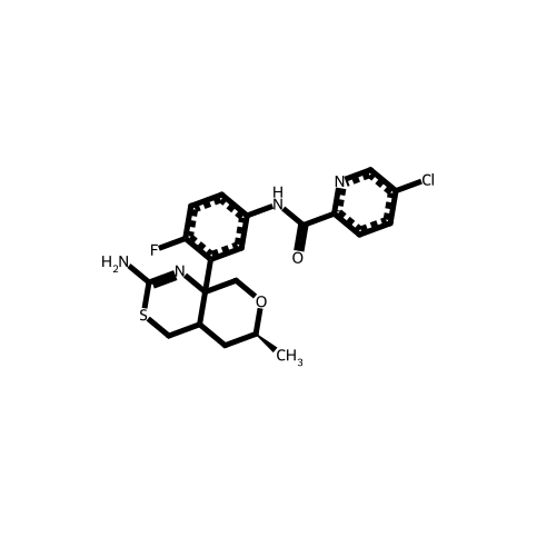 C[C@H]1CC2CSC(N)=NC2(c2cc(NC(=O)c3ccc(Cl)cn3)ccc2F)CO1